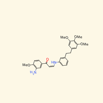 COc1ccc(C(=O)/C=C\Nc2cccc(CCc3cc(OC)c(OC)c(OC)c3)c2)cc1N